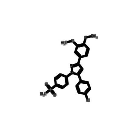 COc1ccc(-c2cc(-c3ccc(Cl)cc3)n(-c3ccc(S(C)(=O)=O)cc3)n2)cc1OC